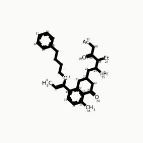 C/C=C(\OCCCCc1ccccc1)c1ccc(C)c2c1CC(CC(CCC)C(CC)C(=O)CC(C)=O)CC2=O